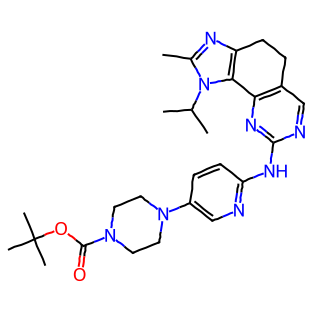 Cc1nc2c(n1C(C)C)-c1nc(Nc3ccc(N4CCN(C(=O)OC(C)(C)C)CC4)cn3)ncc1CC2